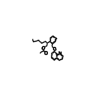 CCCCCC(COC(C)=O)c1ccccc1COc1cccc2cccnc12